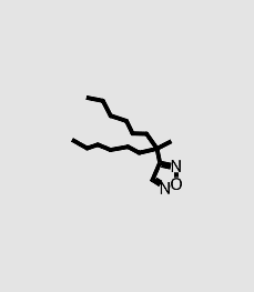 CCCCCCC(C)(CCCCCC)c1cnon1